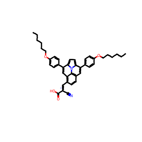 CCCCCCOc1ccc(-c2cc3ccc(/C=C(\C#N)C(=O)O)c4cc(-c5ccc(OCCCCCC)cc5)c5ccc2n5c34)cc1